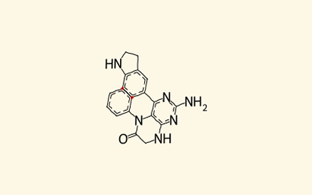 Nc1nc2c(c(-c3ccc4c(c3)CCN4)n1)N(c1ccccc1)C(=O)CN2